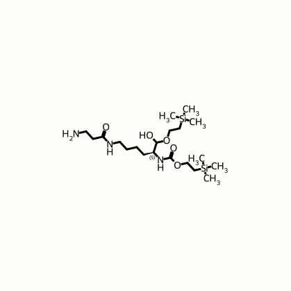 C[Si](C)(C)CCOC(=O)N[C@@H](CCCCNC(=O)CCN)C(O)OCC[Si](C)(C)C